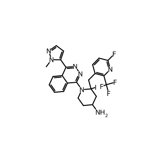 Cn1nccc1-c1nnc(N2CCC(N)CC2(I)Cc2ccc(F)nc2C(F)(F)F)c2ccccc12